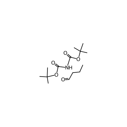 CC(C)(C)OC(=O)NC(=O)OC(C)(C)C.CCCC=O